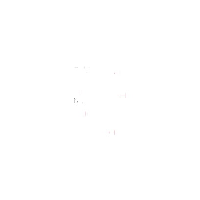 O=C(O)C(O)C(O)C(O)C(O)CO.[Nd]